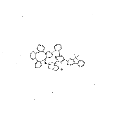 CC1(C)c2ccccc2-c2ccc(-c3nc(-c4ccccc4-c4ccc5oc6ccccc6c6ccccc6c6ccccc6c5c4)nc(C45CC6C[C@H](C4)C[C@@H](C6)C5)n3)cc21